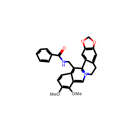 COc1ccc2c(CNC(=O)c3ccccc3)c3[n+](cc2c1OC)CCc1cc2c(cc1-3)OCO2